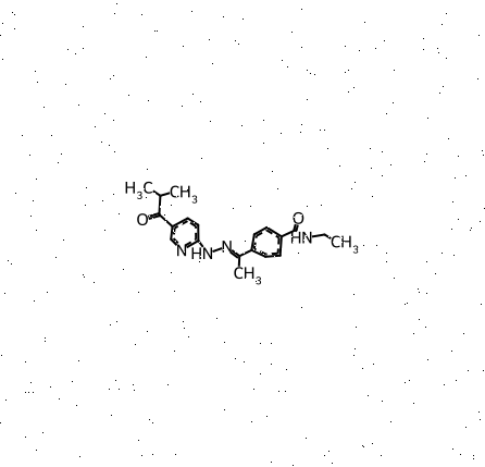 CCNC(=O)c1ccc(/C(C)=N/Nc2ccc(C(=O)C(C)C)cn2)cc1